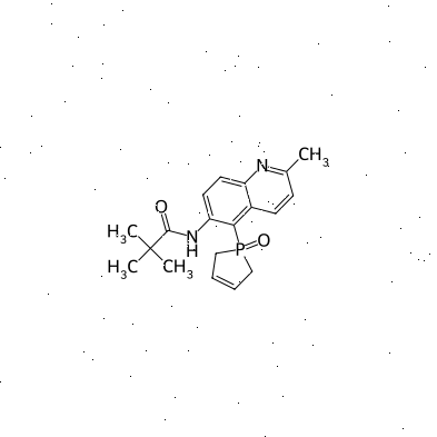 Cc1ccc2c(P3(=O)CC=CC3)c(NC(=O)C(C)(C)C)ccc2n1